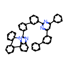 c1ccc(-c2cccc(-c3cc(-c4ccccc4)nc(-c4cccc(-c5cccc(-c6nc7cccc8c7n6-c6ccccc6-c6ccccc6-8)c5)c4)n3)c2)cc1